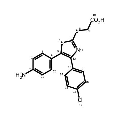 Nc1ccc(-c2sc(SCC(=O)O)nc2-c2ccc(Cl)cc2)cc1